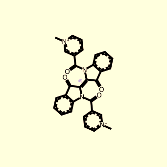 C[n+]1cccc(C(=O)N2/C(=C3\C(=O)c4ccccc4N3C(=O)c3ccc[n+](C)c3)C(=O)c3ccccc32)c1